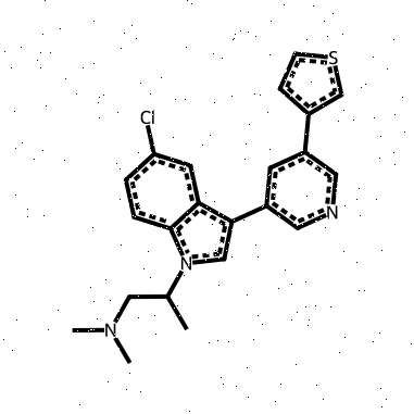 CC(CN(C)C)n1cc(-c2cncc(-c3ccsc3)c2)c2cc(Cl)ccc21